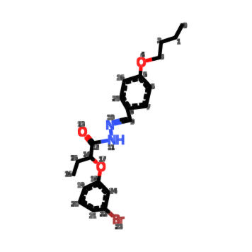 CCCCOc1ccc(C=NNC(=O)C(CC)Oc2cccc(Br)c2)cc1